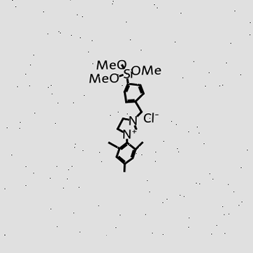 CO[Si](OC)(OC)c1ccc(CN2C=[N+](c3c(C)cc(C)cc3C)CC2)cc1.[Cl-]